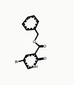 O=C(OCc1ccccc1)c1cc(Br)c[nH]c1=O